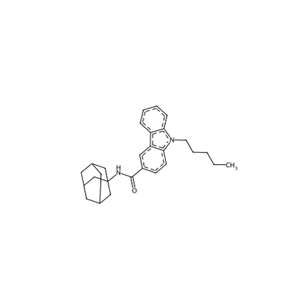 CCCCCn1c2ccccc2c2cc(C(=O)NC34CC5CC(CC(C5)C3)C4)ccc21